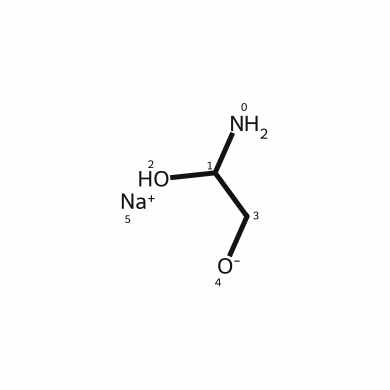 NC(O)C[O-].[Na+]